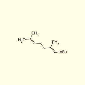 CCCC/C=C(\C)CCC=C(C)C